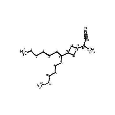 CCCCCCC(CCCCCC)C1CN(C(C)C#N)C1